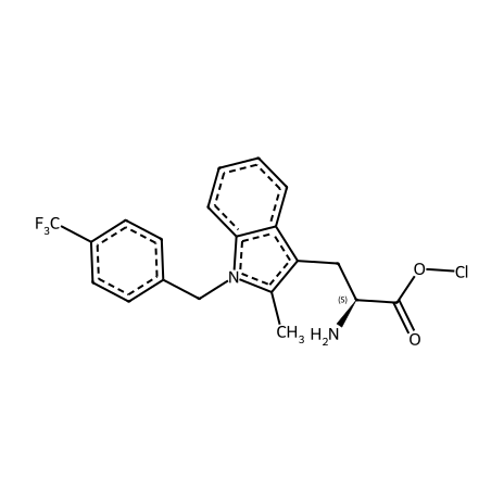 Cc1c(C[C@H](N)C(=O)OCl)c2ccccc2n1Cc1ccc(C(F)(F)F)cc1